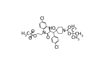 CC(C)(C)OC(=O)N1CCC(O)(C(c2ccc(Cl)cc2)c2cc3cc(Cl)ccc3n(CCOS(C)(=O)=O)c2=O)CC1